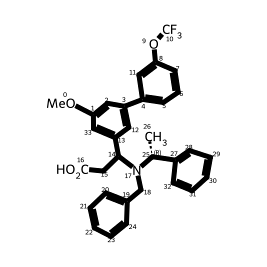 COc1cc(-c2cccc(OC(F)(F)F)c2)cc(C(CC(=O)O)N(Cc2ccccc2)[C@H](C)c2ccccc2)c1